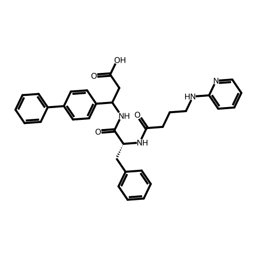 O=C(O)CC(NC(=O)[C@@H](Cc1ccccc1)NC(=O)CCCNc1ccccn1)c1ccc(-c2ccccc2)cc1